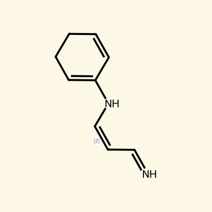 N=C/C=C\NC1=CCCC=C1